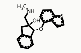 CNC[C@@]1(O)Cc2ccccc2[C@H]1Oc1cccc2sccc12